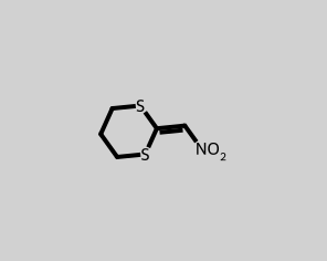 O=[N+]([O-])C=C1SCCCS1